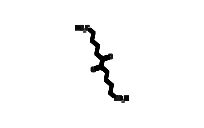 O=C(O)CCCCC(=O)C(=O)CCCCC(=O)O